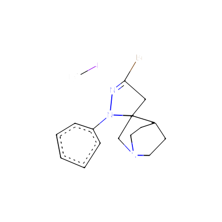 BrC1=NN(c2ccccc2)C2(C1)CN1CCC2CC1.CI